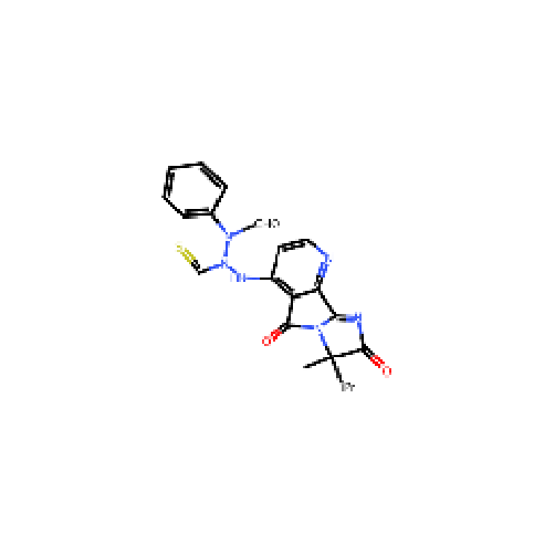 CC(C)C1(C)C(=O)N=C2c3nccc(NN(C=S)N(C=O)c4ccccc4)c3C(=O)N21